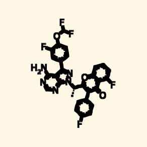 C[C@@H](c1oc2cccc(F)c2c(=O)c1-c1ccc(F)cc1)n1nc(-c2ccc(OC(F)F)c(F)c2)c2c(N)ncnc21